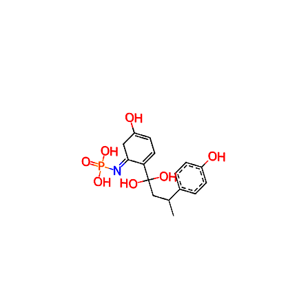 CC(CC(O)(O)C1=CC=C(O)CC1=NP(=O)(O)O)c1ccc(O)cc1